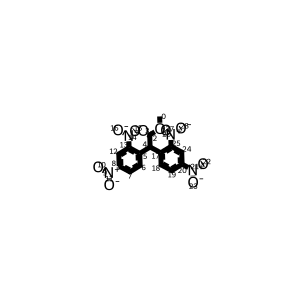 COC(=O)C(c1ccc([N+](=O)[O-])cc1[N+](=O)[O-])c1ccc([N+](=O)[O-])cc1[N+](=O)[O-]